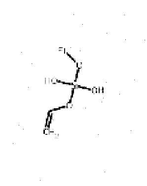 C=CO[Si](O)(O)OCC